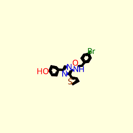 O=C(Cc1ccc(Br)cc1)Nc1ncc(-c2ccc(O)cc2)nc1-c1cccs1